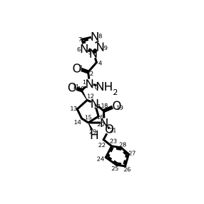 NN(C(=O)Cn1ncnn1)C(=O)[C@@H]1CC[C@@H]2CN1C(=O)N2OCc1ccccc1